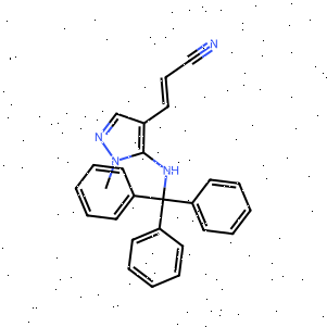 Cn1ncc(C=CC#N)c1NC(c1ccccc1)(c1ccccc1)c1ccccc1